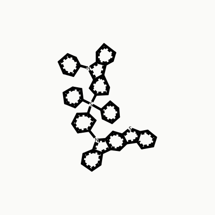 c1ccc(-n2c3ccccc3c3ccc(S(c4ccccc4)(c4ccccc4)c4cccc(-n5c6ccccc6c6cc7c(cc65)sc5ccccc57)c4)cc32)cc1